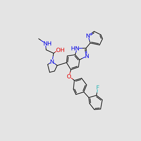 CNCC(O)N1CCCC1c1cc2[nH]c(-c3ccccn3)nc2cc1Oc1ccc(-c2ccccc2F)cc1